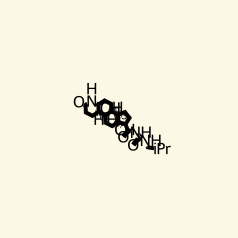 CC(C)CNC(=O)NC(=O)C1CC[C@H]2[C@@H]3CCC4NC(=O)CC[C@]4(C)[C@@H]3CC[C@]12C